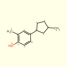 Cc1cc(C2CCC(C)C2)ccc1O